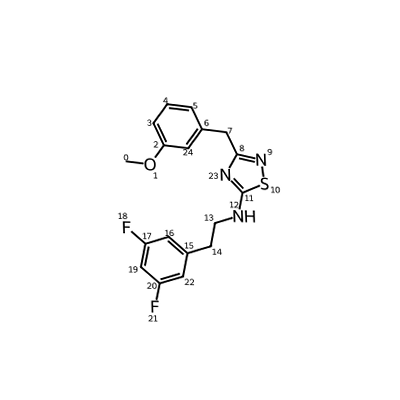 COc1cccc(Cc2nsc(NCCc3cc(F)cc(F)c3)n2)c1